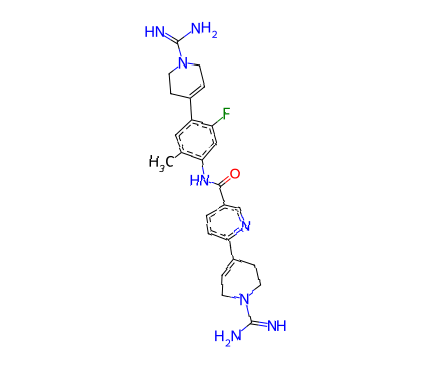 Cc1cc(C2=CCN(C(=N)N)CC2)c(F)cc1NC(=O)c1ccc(C2=CCN(C(=N)N)CC2)nc1